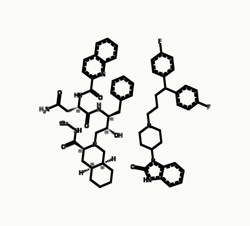 CC(C)(C)NC(=O)[C@@H]1C[C@@H]2CCCC[C@@H]2CN1C[C@@H](O)[C@H](Cc1ccccc1)NC(=O)[C@H](CC(N)=O)NC(=O)c1ccc2ccccc2n1.O=c1[nH]c2ccccc2n1C1CCN(CCCC(c2ccc(F)cc2)c2ccc(F)cc2)CC1